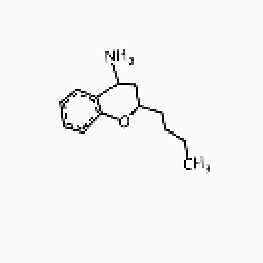 CCCCC1CC(N)c2ccccc2O1